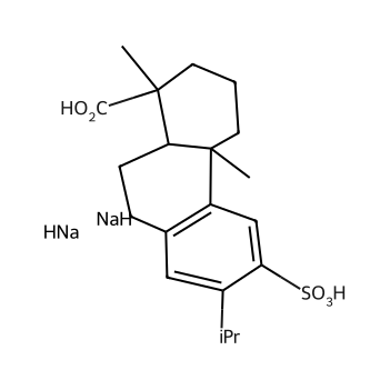 CC(C)c1cc2c(cc1S(=O)(=O)O)C1(C)CCCC(C)(C(=O)O)C1CC2.[NaH].[NaH]